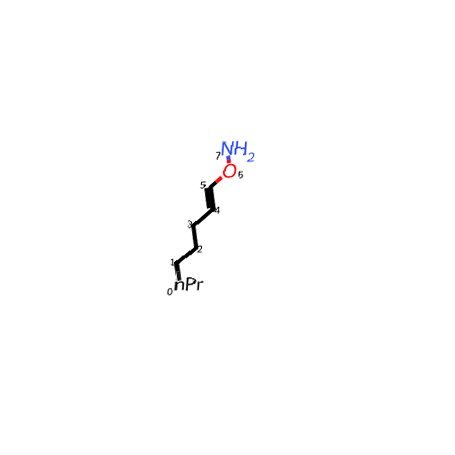 CCCCCCC=CON